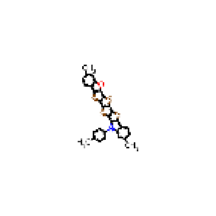 Cc1ccc(-n2c3cc(C)ccc3c3sc4c5sc6c7oc8cc(C)ccc8c7sc6c5sc4c32)cc1